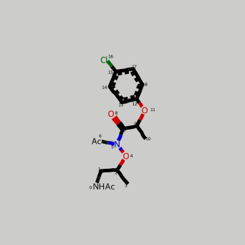 CC(=O)NCC(C)ON(C(C)=O)C(=O)C(C)Oc1ccc(Cl)cc1